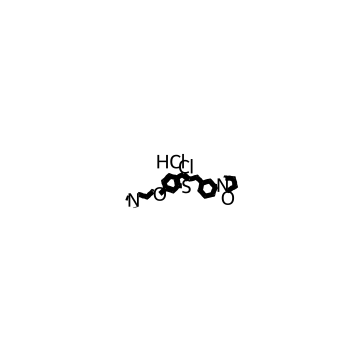 CN(C)CCCOc1ccc2c(Cl)c(CC3CCCC(N4CCCC4=O)C3)sc2c1.Cl